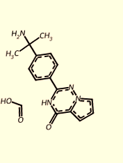 CC(C)(N)c1ccc(-c2nn3cccc3c(=O)[nH]2)cc1.O=CO